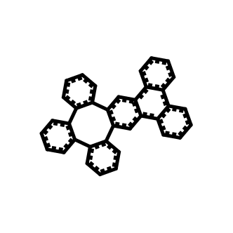 c1ccc2c(c1)-c1ccccc1-c1cc3c4ccccc4c4ccccc4c3cc1-c1ccccc1-2